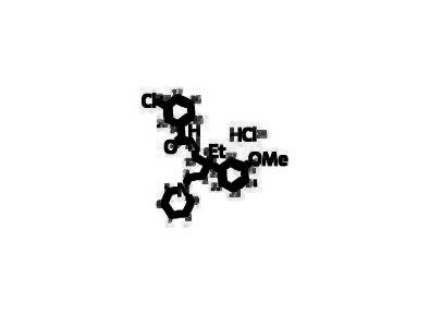 CCC(CCN1CCCCC1)(CNC(=O)c1cccc(Cl)c1)c1cccc(OC)c1.Cl